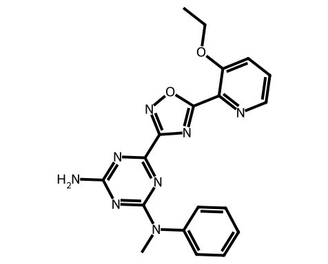 CCOc1cccnc1-c1nc(-c2nc(N)nc(N(C)c3ccccc3)n2)no1